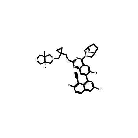 C#Cc1c(F)ccc2cc(O)cc(-c3cc4nc(OCC5(CN6C[C@@]7(C)COC[C@]7(C)C6)CC5)nc(N5CC6CCC(C5)N6)c4cc3Cl)c12